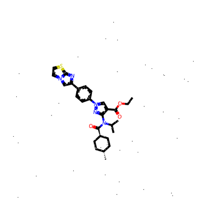 CCOC(=O)c1cn(-c2ccc(-c3cn4ccsc4n3)cc2)nc1N(C(=O)[C@H]1CC[C@H](C)CC1)C(C)C